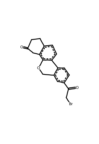 O=C1CCc2ccc3c(c2C1)OCc1cc(C(=O)CBr)ccc1-3